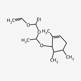 C=COC(CC)OC(C)OC1C(C)=CCC(C)C1C